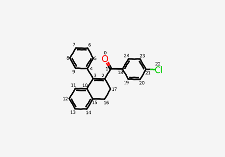 O=C(C1=C(c2ccccc2)c2ccccc2CC1)c1ccc(Cl)cc1